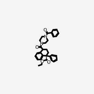 CCOC(=O)[C@]1(c2ccccc2)CCC(C(=O)N2CCN(C(=O)c3ccccc3)CC2)c2ccccc21